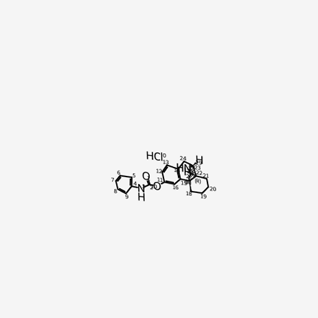 Cl.O=C(Nc1ccccc1)Oc1ccc2c(c1)[C@@]13CCCC[C@H]1[C@@H](C2)NCC3